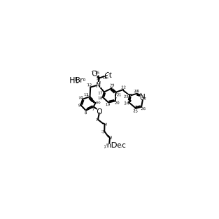 Br.CCCCCCCCCCCCCCOc1cccc(CN(C(=O)CC)c2cccc(Cc3cccnc3)c2)c1